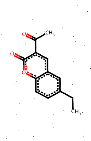 CCc1ccc2oc(=O)c(C(C)=O)cc2c1